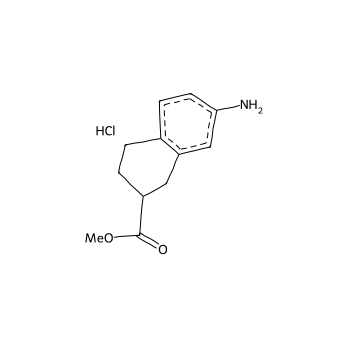 COC(=O)C1CCc2ccc(N)cc2C1.Cl